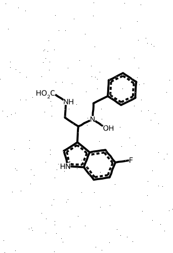 O=C(O)NCC(c1c[nH]c2ccc(F)cc12)N(O)Cc1ccccc1